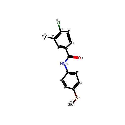 CC(C)(C)Sc1ccc(NC(=O)c2ccc(Cl)c(C(F)(F)F)c2)cc1